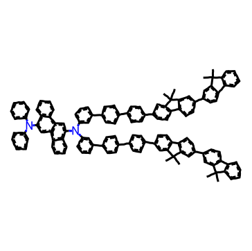 CC1(C)c2ccccc2-c2ccc(-c3ccc4c(c3)C(C)(C)c3cc(-c5ccc(-c6ccc(-c7cccc(N(c8cccc(-c9ccc(-c%10ccc(-c%11ccc%12c(c%11)C(C)(C)c%11cc(-c%13ccc%14c(c%13)C(C)(C)c%13ccccc%13-%14)ccc%11-%12)cc%10)cc9)c8)c8cc9c%10ccccc%10c(N(c%10ccccc%10)c%10ccccc%10)cc9c9ccccc89)c7)cc6)cc5)ccc3-4)cc21